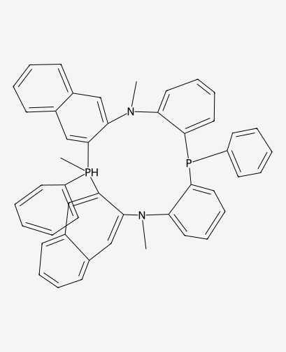 CN1c2ccccc2P(c2ccccc2)c2ccccc2N(C)c2cc3ccccc3cc2[PH](C)(c2ccccc2)c2cc3ccccc3cc21